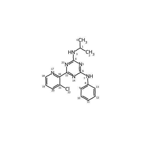 CC(C)Nc1nc(Nc2ccccc2)nc(-c2ncccc2Cl)n1